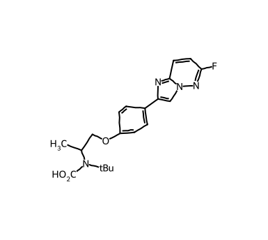 CC(COc1ccc(-c2cn3nc(F)ccc3n2)cc1)N(C(=O)O)C(C)(C)C